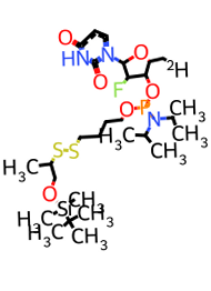 [2H]CC1OC(n2ccc(=O)[nH]c2=O)C(F)C1OP(OCCCCSSC(C)CO[Si](C)(C)C(C)(C)C)N(C(C)C)C(C)C